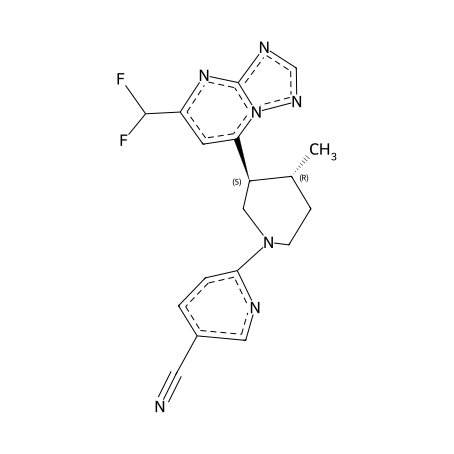 C[C@@H]1CCN(c2ccc(C#N)cn2)C[C@H]1c1cc(C(F)F)nc2ncnn12